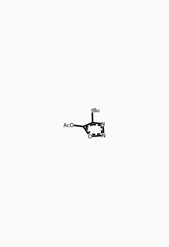 CC(=O)Oc1onnc1C(C)(C)C